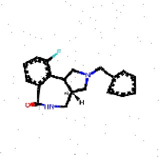 O=C1NC[C@H]2CN(Cc3ccccc3)CC2c2c(F)cccc21